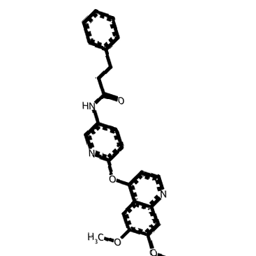 COc1cc2nccc(Oc3ccc(NC(=O)[CH]Cc4ccccc4)cn3)c2cc1OC